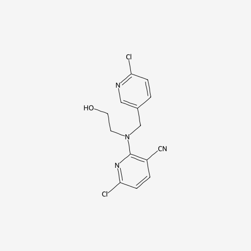 N#Cc1ccc(Cl)nc1N(CCO)Cc1ccc(Cl)nc1